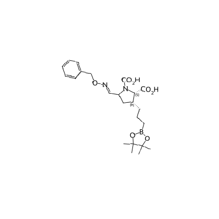 CC1(C)OB(CCC[C@@H]2CC(C=NOCc3ccccc3)N(C(=O)O)[C@@H]2C(=O)O)OC1(C)C